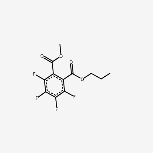 CCCOC(=O)c1c(F)c(F)c(F)c(F)c1C(=O)OC